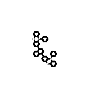 c1ccc(N2c3ccccc3Oc3ccc(-c4ccc(-c5ccc6c(c5)N(c5ccccc5)c5ccccc5O6)c5ccccc45)cc32)cc1